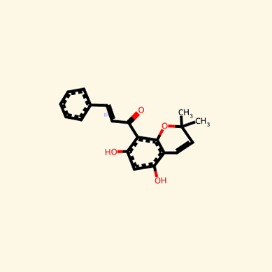 CC1(C)C=Cc2c(O)cc(O)c(C(=O)/C=C/c3ccccc3)c2O1